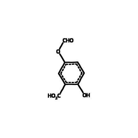 O=COc1ccc(O)c(C(=O)O)c1